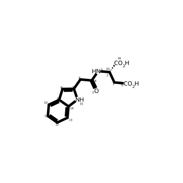 O=C(O)C[C@H](NC(=O)Cc1cc2ccccc2[nH]1)C(=O)O